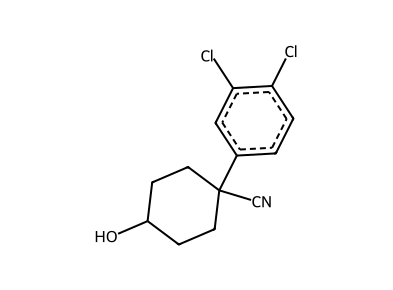 N#CC1(c2ccc(Cl)c(Cl)c2)CCC(O)CC1